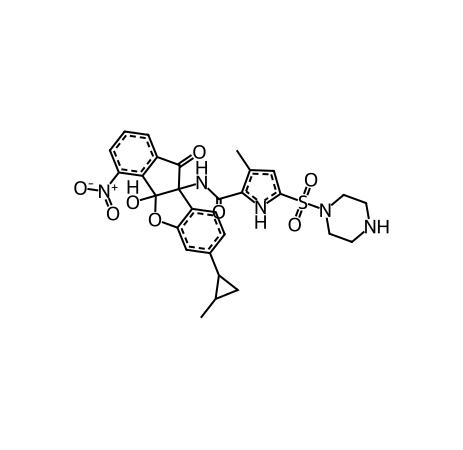 Cc1cc(S(=O)(=O)N2CCNCC2)[nH]c1C(=O)NC12C(=O)c3cccc([N+](=O)[O-])c3C1(O)Oc1cc(C3CC3C)ccc12